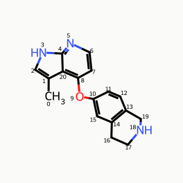 Cc1c[nH]c2nccc(Oc3ccc4c(c3)CCNC4)c12